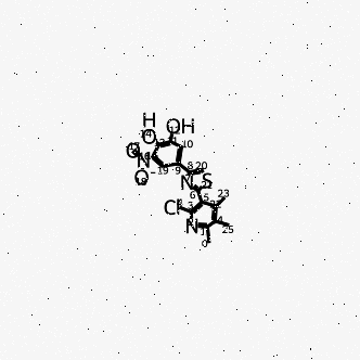 Cc1nc(Cl)c(-c2nc(-c3cc(O)c(O)c([N+](=O)[O-])c3)cs2)c(C)c1C